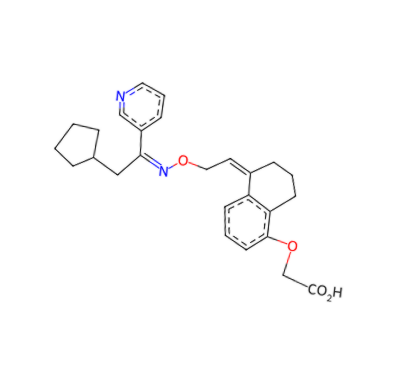 O=C(O)COc1cccc2c1CCC/C2=C/CO/N=C(/CC1CCCC1)c1cccnc1